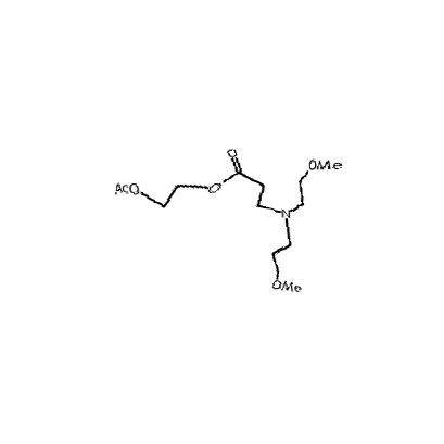 COCCN(CCOC)CCC(=O)OCCOC(C)=O